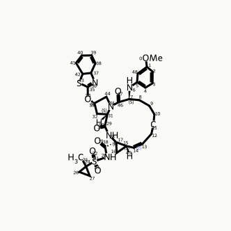 COc1cccc(N[C@H]2CCCCC/C=C\[C@@H]3C[C@@]3(C(=O)NS(=O)(=O)C3(C)CC3)NC(=O)[C@@H]3C[C@@H](OC4=NC5C=CC=CC5S4)CN3C2=O)c1